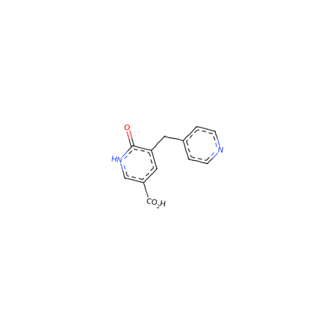 O=C(O)c1c[nH]c(=O)c(Cc2ccncc2)c1